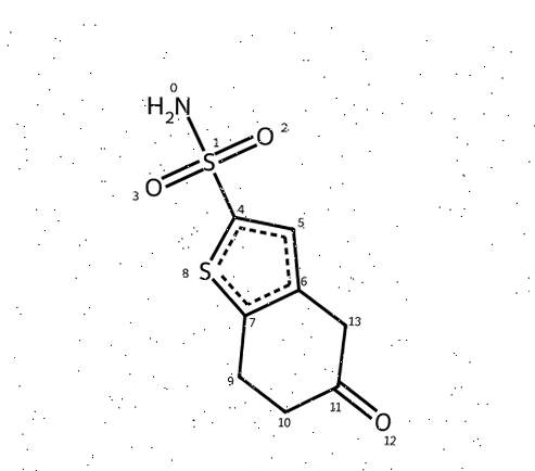 NS(=O)(=O)c1cc2c(s1)CCC(=O)C2